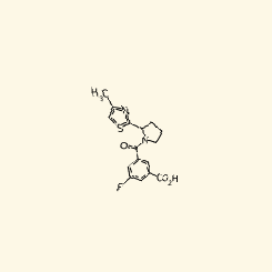 Cc1csc(C2CCCN2C(=O)c2cc(F)cc(C(=O)O)c2)n1